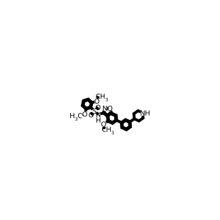 COc1cccc(OC)c1S(=O)(=O)Nc1noc2cc(-c3cccc(C4CCNCC4)c3)cc(OC)c12